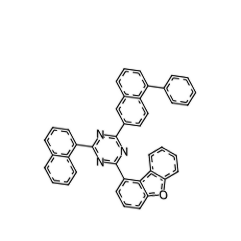 c1ccc(-c2cccc3cc(-c4nc(-c5cccc6ccccc56)nc(-c5cccc6oc7ccccc7c56)n4)ccc23)cc1